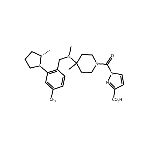 C[C@H]1CCCN1c1cc(C(F)(F)F)ccc1CN(C)C1(C)CCN(C(=O)n2ccc(C(=O)O)n2)CC1